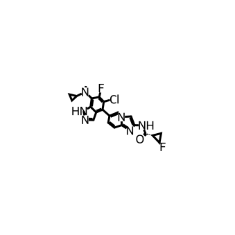 CN(c1c(F)c(Cl)c(-c2ccc3nc(NC(=O)[C@@H]4C[C@@H]4F)cn3c2)c2cn[nH]c12)C1CC1